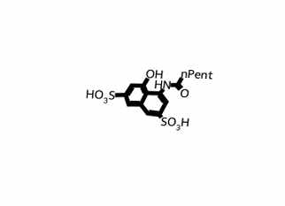 CCCCCC(=O)Nc1cc(S(=O)(=O)O)cc2cc(S(=O)(=O)O)cc(O)c12